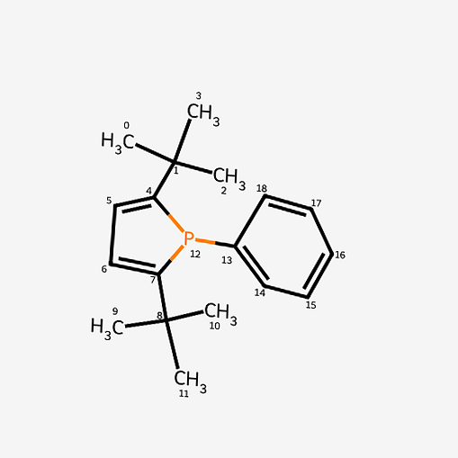 CC(C)(C)c1ccc(C(C)(C)C)p1-c1ccccc1